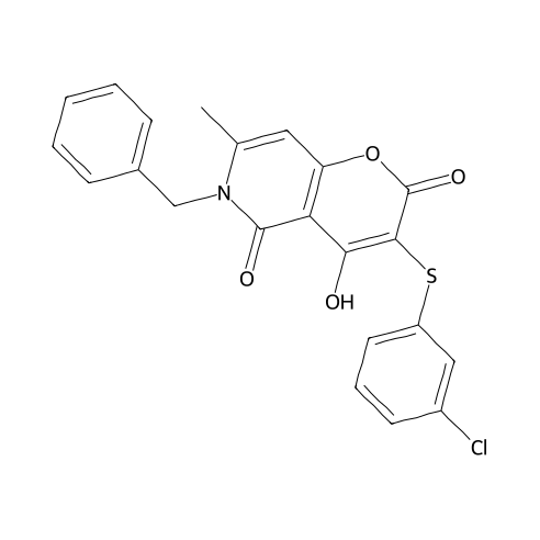 Cc1cc2oc(=O)c(Sc3cccc(Cl)c3)c(O)c2c(=O)n1Cc1ccccc1